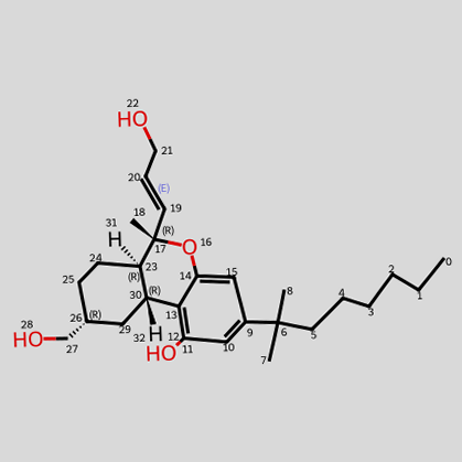 CCCCCCC(C)(C)c1cc(O)c2c(c1)O[C@@](C)(/C=C/CO)[C@@H]1CC[C@@H](CO)C[C@@H]21